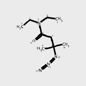 CCN(CC)C(=O)CC(C)(C)N=[N+]=[N-]